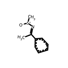 C/C(=N\[S+](C)[O-])c1ccccc1